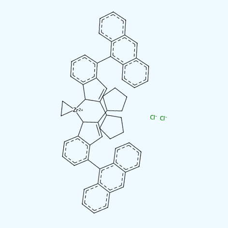 C1=C(C2CCCC2)[CH]([Zr+2]2([CH]3C(C4CCCC4)=Cc4c(-c5c6ccccc6cc6ccccc56)cccc43)[CH2][CH2]2)c2cccc(-c3c4ccccc4cc4ccccc34)c21.[Cl-].[Cl-]